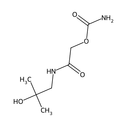 CC(C)(O)CNC(=O)COC(N)=O